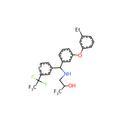 CCc1cccc(Oc2cccc(C(NCC(O)C(F)(F)F)c3cccc(C(F)(F)C(F)(F)F)c3)c2)c1